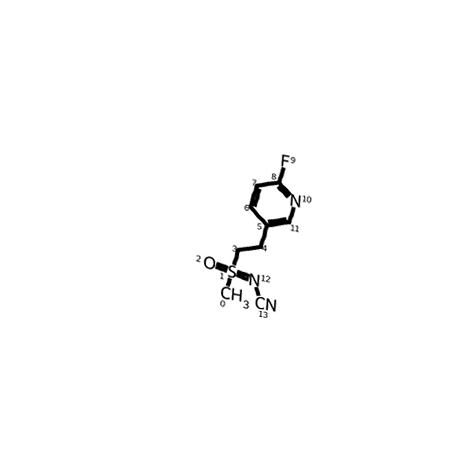 CS(=O)(CCc1ccc(F)nc1)=NC#N